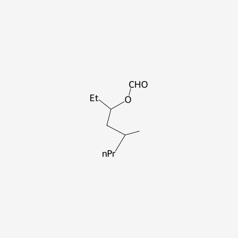 CCCC(C)CC(CC)OC=O